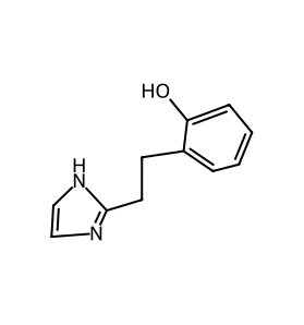 Oc1ccccc1CCc1ncc[nH]1